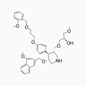 COC[C@@H](O)COC[C@@H]1CNC[C@H](OCc2cc(OC)c3ccccc3c2)[C@H]1c1ccc(OCCCOCc2ccccc2OC)cc1